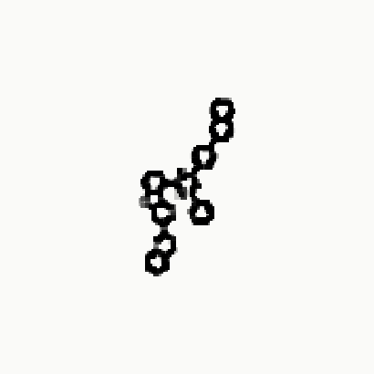 c1ccc(-c2nc(-c3ccc(-c4ccc5ccccc5c4)cc3)nc(-c3cccc4oc5cc(-c6ccc7ccccc7c6)ccc5c34)n2)cc1